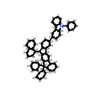 c1ccc(-n2c3ccccc3c3cc(-c4ccc5c(c4)-c4cc6c(cc4C5c4cccc5ccccc45)C(c4ccccc4)(c4ccccc4)c4ccccc4-6)ccc32)cc1